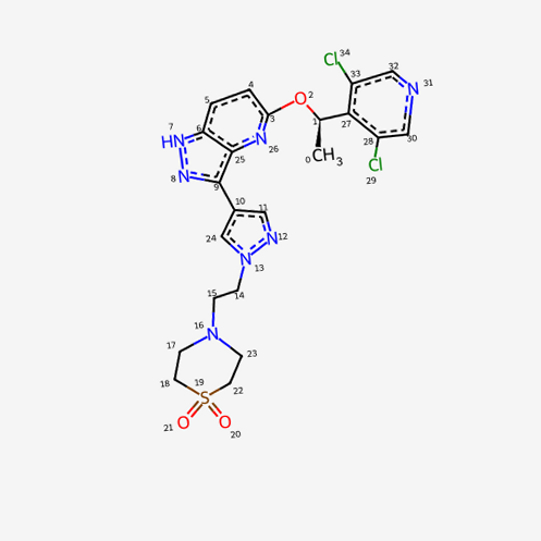 C[C@@H](Oc1ccc2[nH]nc(-c3cnn(CCN4CCS(=O)(=O)CC4)c3)c2n1)c1c(Cl)cncc1Cl